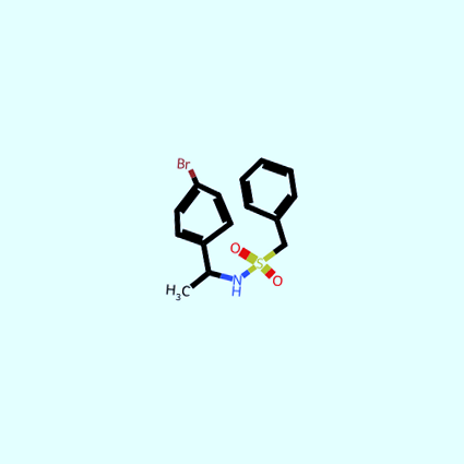 CC(NS(=O)(=O)Cc1ccccc1)c1ccc(Br)cc1